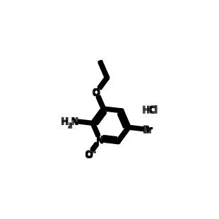 CCOc1cc(Br)c[n+]([O-])c1N.Cl